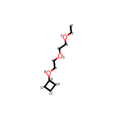 CCOCCOCCOC1CCC1